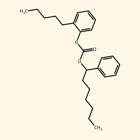 CCCCCCC(OC(=O)Oc1ccccc1CCCCC)c1ccccc1